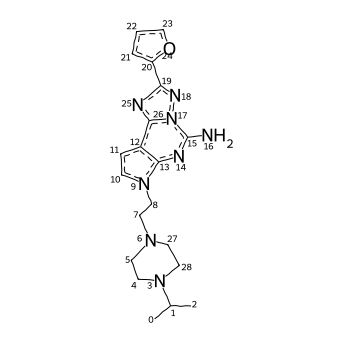 CC(C)N1CCN(CCn2ccc3c2nc(N)n2nc(-c4ccco4)nc32)CC1